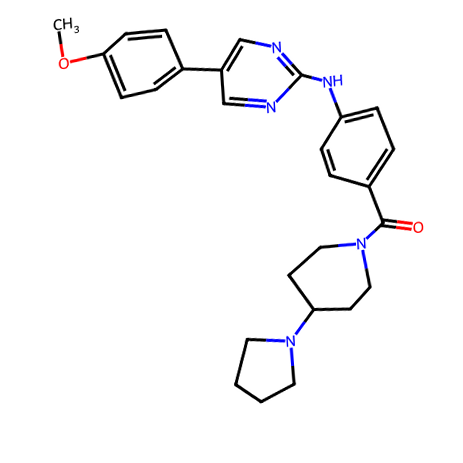 COc1ccc(-c2cnc(Nc3ccc(C(=O)N4CCC(N5CCCC5)CC4)cc3)nc2)cc1